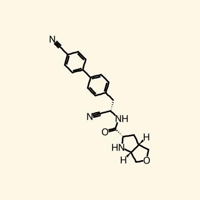 N#Cc1ccc(-c2ccc(C[C@@H](C#N)NC(=O)[C@@H]3C[C@@H]4COC[C@@H]4N3)cc2)cc1